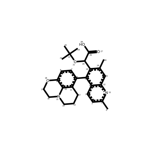 Cc1ccc2c(-c3ccc4c5c3CCCN5CCO4)c(C(OC(C)(C)C)C(=O)O)c(C)cc2n1